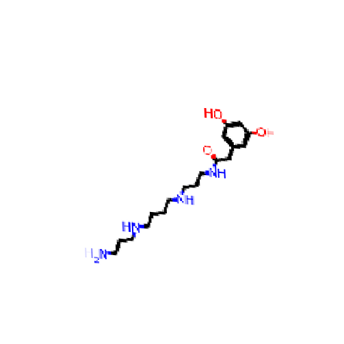 NCCCNCCCCNCCCNC(=O)Cc1cc(O)cc(O)c1